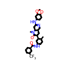 Cc1ccc(NC(=O)c2cccc(C(F)(F)F)c2)cc1-c1cc2cnc(Nc3ccc4c(c3)OCO4)cc2n(C)c1=O